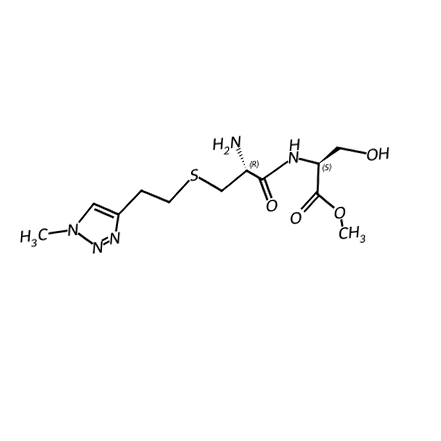 COC(=O)[C@H](CO)NC(=O)[C@@H](N)CSCCc1cn(C)nn1